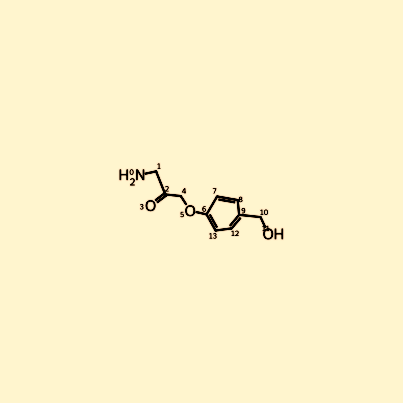 NCC(=O)COc1ccc(CO)cc1